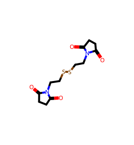 O=C1CCC(=O)N1CCSSCCN1C(=O)CCC1=O